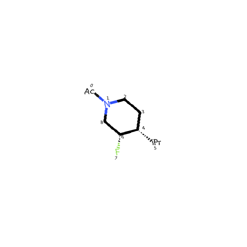 CC(=O)N1CC[C@H](C(C)C)[C@H](F)C1